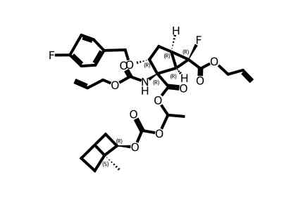 C=CCOC(=O)N[C@@]1(C(=O)OC(C)OC(=O)O[C@@H]2CC3CC[C@@]32C)[C@H](OCc2ccc(F)cc2)C[C@@H]2[C@H]1[C@@]2(F)C(=O)OCC=C